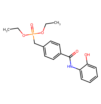 CCOP(=O)(Cc1ccc(C(=O)Nc2ccccc2O)cc1)OCC